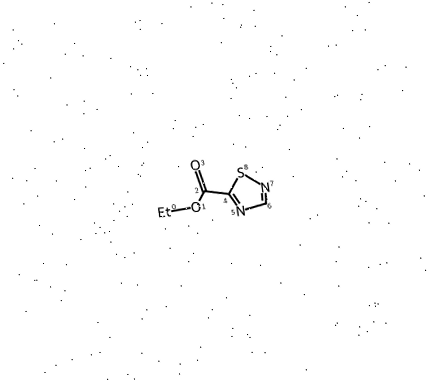 CCOC(=O)c1ncns1